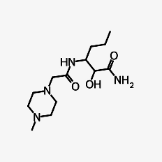 CCCC(NC(=O)CN1CCN(C)CC1)C(O)C(N)=O